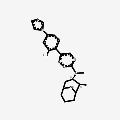 CN(c1ncc(-c2ccc(-n3ccnc3)cc2O)nn1)[C@@H]1CC2CCCC(N2)[C@@H]1F